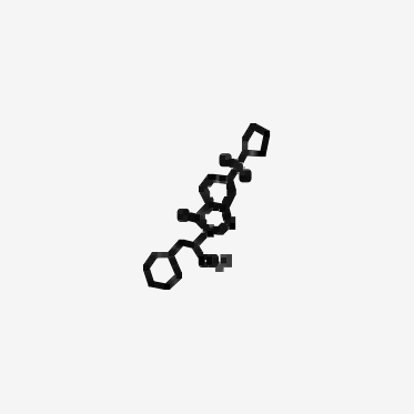 O=C(O)C(CC1CCCCC1)n1cnc2cc(S(=O)(=O)C3CCCC3)ccc2c1=O